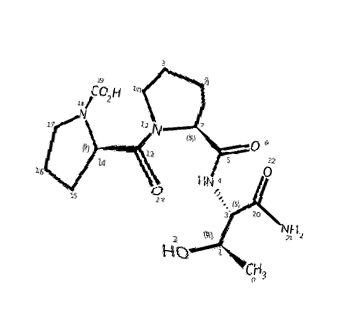 C[C@@H](O)[C@H](NC(=O)[C@@H]1CCCN1C(=O)[C@H]1CCCN1C(=O)O)C(N)=O